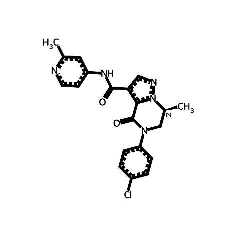 Cc1cc(NC(=O)c2cnn3c2C(=O)N(c2ccc(Cl)cc2)C[C@@H]3C)ccn1